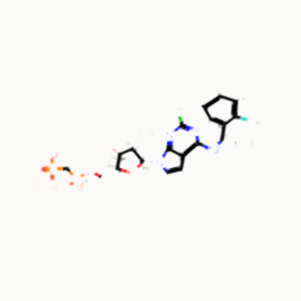 C[C@H](Nc1nc(Cl)nc2c1ccn2[C@@H]1O[C@H](COP(=O)(O)CP(=O)(O)O)[C@@H](O)[C@@H]1F)c1ccccc1F